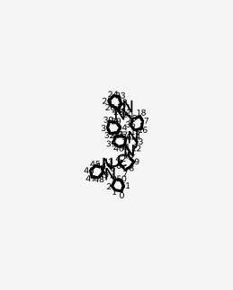 c1ccc(-n2c(-c3cccc(N4CCN(c5cccc(-c6nc7ccccc7n6-c6ccccc6)c5)c5ccccc54)c3)nc3ccccc32)cc1